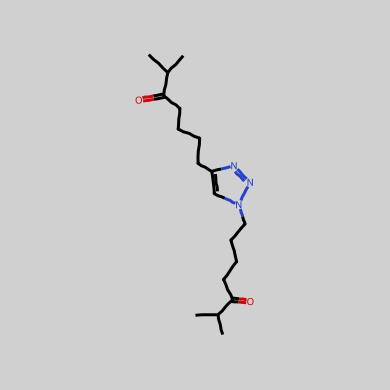 CC(C)C(=O)CCCCc1cn(CCCCC(=O)C(C)C)nn1